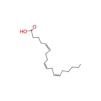 CCCCC/C=C\C/C=C\CC/C=C\CCCC(=O)O